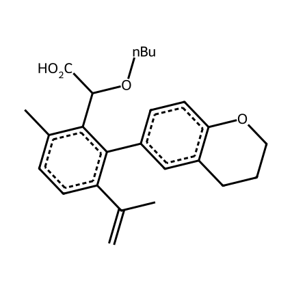 C=C(C)c1ccc(C)c(C(OCCCC)C(=O)O)c1-c1ccc2c(c1)CCCO2